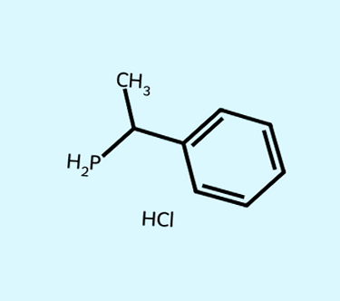 CC(P)c1ccccc1.Cl